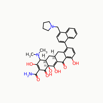 CN(C)C1C(O)=C(C(N)=O)C(=O)[C@@]2(O)C(O)=C3C(=O)c4c(O)ccc(-c5ccc(CN6CCCC6)c6ccccc56)c4C[C@@H]3C[C@H]12